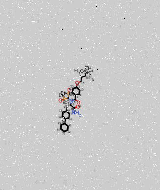 CCP(=O)(CC)C(N(C(=O)c1ccc(OCCC[Si](C)(C)C)cc1)[C@@H](Cc1ccc(-c2ccccc2)cc1)C(N)=O)P(=O)(CC)CC